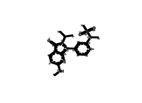 CNc1ncc2c(=O)n(C(C)C)n(-c3ccnc(N(C)S(C)(=O)=O)c3)c2n1